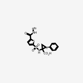 CCCNC(=O)c1ccc(S(=O)(=O)NC2(C(=O)O)C[C@H]2c2ccccc2)s1